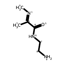 C/N=C(\C)C(=O)NCCN